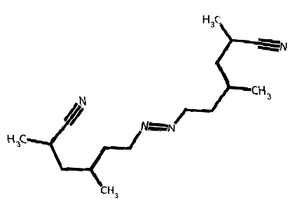 CC(C#N)CC(C)CCN=NCCC(C)CC(C)C#N